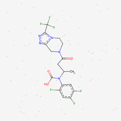 CC(CC(=O)N1CCn2c(nnc2C(F)(F)F)C1)N(C(=O)O)c1cc(F)c(F)cc1F